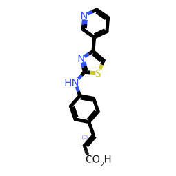 O=C(O)/C=C/c1ccc(Nc2nc(-c3cccnc3)cs2)cc1